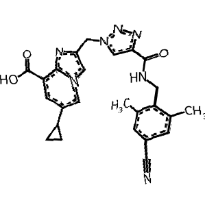 Cc1cc(C#N)cc(C)c1CNC(=O)c1cn(Cc2cn3cc(C4CC4)cc(C(=O)O)c3n2)nn1